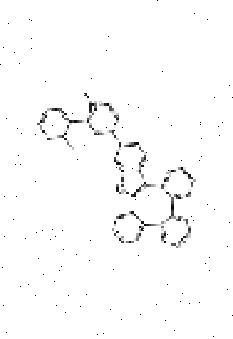 Cc1ccccc1-c1cc(-c2ccc3c4c(oc3c2)-c2ccccc2-c2ccccc2-c2ccccc2-4)cc[n+]1C